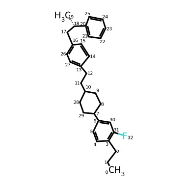 CCCc1ccc(C2CCC(CCc3ccc(C[C@H](C)c4ccccc4)cc3)CC2)cc1F